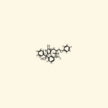 CC(C)(N)C(COc1ccccc1)Cc1cc(C(O)(c2ccccc2)c2ccccc2)n[nH]1